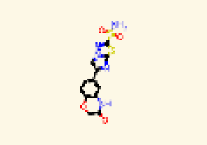 NS(=O)(=O)c1nn2cc(-c3ccc4c(c3)NC(=O)CO4)nc2s1